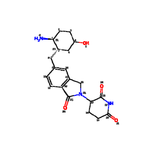 N[C@H]1CCC(O)C[C@@H]1Cc1ccc2c(c1)CN(C1CCC(=O)NC1=O)C2=O